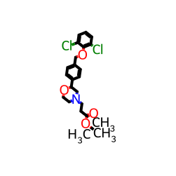 CC(C)(C)OC(=O)CCN1CCOC(c2ccc(COc3c(Cl)cccc3Cl)cc2)C1